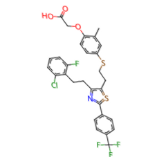 Cc1cc(SCCc2sc(-c3ccc(C(F)(F)F)cc3)nc2CCc2c(F)cccc2Cl)ccc1OCC(=O)O